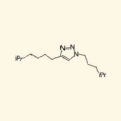 CC(C)CCCCc1cn(CCCC(C)C)nn1